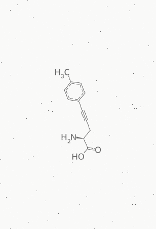 Cc1ccc(C#CC[C@H](N)C(=O)O)cc1